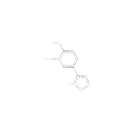 COc1ccc(-c2nnn[nH]2)cc1C=O